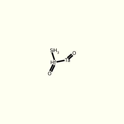 [O]=[Ta][Hf](=[O])[SiH3]